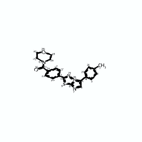 Cc1ccc(-c2cnc3sc(-c4ccc(C(=O)N5CCOCC5)cc4)nn23)cc1